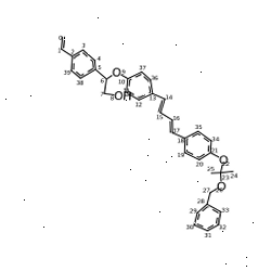 C=Cc1ccc(C(CO)Oc2ccc(C=CC=Cc3ccc(OC(C)(C)OCc4ccccc4)cc3)cc2)cc1